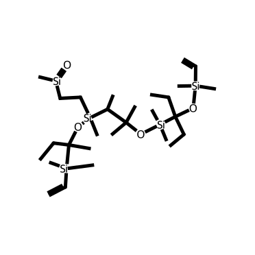 C=C[Si](C)(C)OC(CC)(CC)[Si](C)(C)OC(C)(C)C(C)[Si](C)(CC[Si](C)=O)OC(C)(CC)[Si](C)(C)C=C